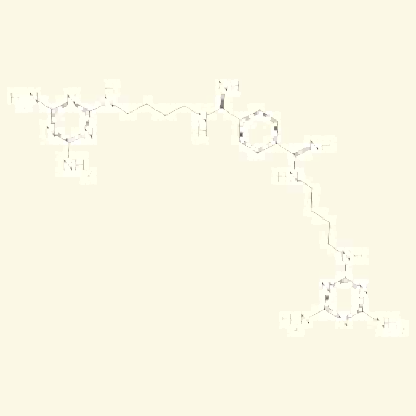 N=C(NCCCCNc1nc(N)nc(N)n1)c1ccc(C(=N)NCCCCNc2nc(N)nc(N)n2)cc1